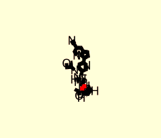 CC(=O)N[C@@H]1[C@@H]2C[C@H]1CN(c1nnc(-c3cnc(-c4ccc5cc(C#N)cnn45)cc3NC3COC3)s1)C2